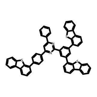 c1ccc(-c2cc(-c3ccc(-c4cccc5c4sc4ccccc45)cc3)nc(-c3cc(-c4cccc5c4sc4ccccc45)cc(-c4cccc5c4sc4ccccc45)c3)n2)cc1